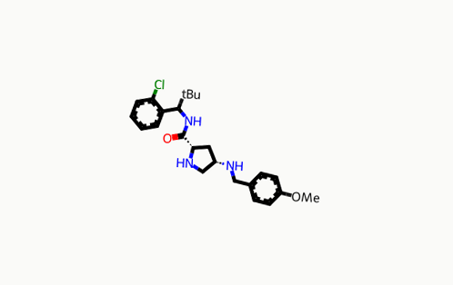 COc1ccc(CN[C@@H]2CN[C@H](C(=O)NC(c3ccccc3Cl)C(C)(C)C)C2)cc1